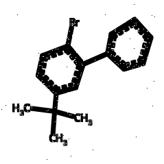 CC(C)(C)c1ccc(Br)c(-c2ccccc2)c1